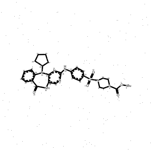 CC(C)(C)OC(=O)N1CCN(S(=O)(=O)c2ccc(Nc3ncc4c(n3)N(C3CCCC3)c3ccccc3C(=O)N4)cc2)CC1